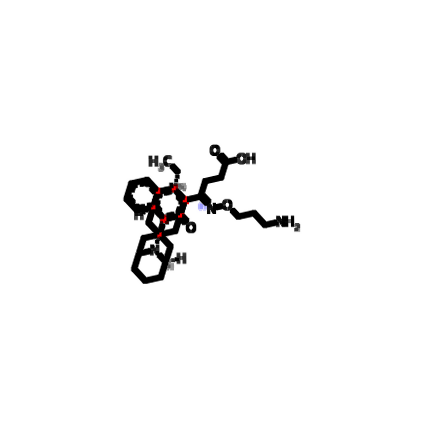 CC[C@@H]1CC2C[C@H](C1)C[C@@H](N1C3CCC[C@@H]1CC(n1c(=O)c(/C(CCC(=O)O)=N/OCCCN)nc4ccccc41)C3)C2